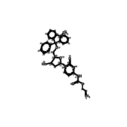 C=CCOC(=O)Nc1ccn([C@H]2CC(O)[C@@H](COC(c3ccccc3)(c3ccccc3)c3ccccc3OC)O2)c(=O)n1